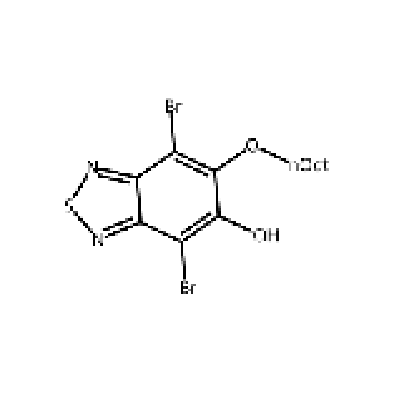 CCCCCCCCOc1c(O)c(Br)c2nsnc2c1Br